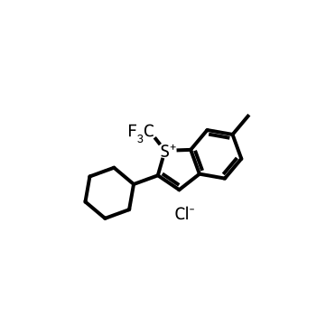 Cc1ccc2cc(C3CCCCC3)[s+](C(F)(F)F)c2c1.[Cl-]